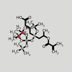 C=C(C)C(=O)OC(C)C[Si](CCCC(=O)O)(O[Si](C)(C)C)O[Si](O[Si](C)(C)C)(O[Si](C)(C)C)O[Si](C)(C)C